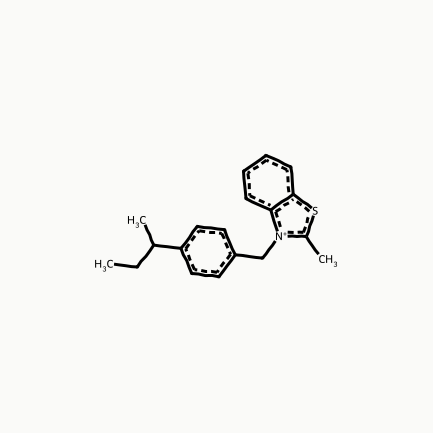 CCC(C)c1ccc(C[n+]2c(C)sc3ccccc32)cc1